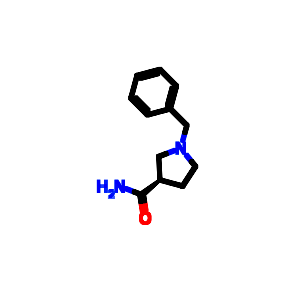 NC(=O)[C@@H]1CCN(Cc2ccccc2)C1